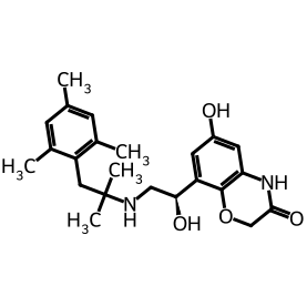 Cc1cc(C)c(CC(C)(C)NC[C@H](O)c2cc(O)cc3c2OCC(=O)N3)c(C)c1